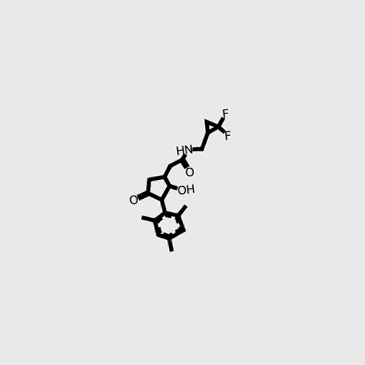 Cc1cc(C)c(C2C(=O)CC(CC(=O)NCC3CC3(F)F)C2O)c(C)c1